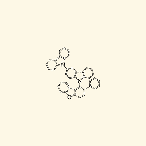 c1ccc(-c2ccc3oc4ccccc4c3c2-n2c3ccccc3c3cc(-n4c5ccccc5c5ccccc54)ccc32)cc1